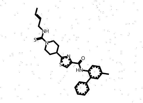 C/C=C/CNC(=S)N1CCC(c2nc(C(=O)Nc3ccc(C)cc3-c3ccccc3)cs2)CC1